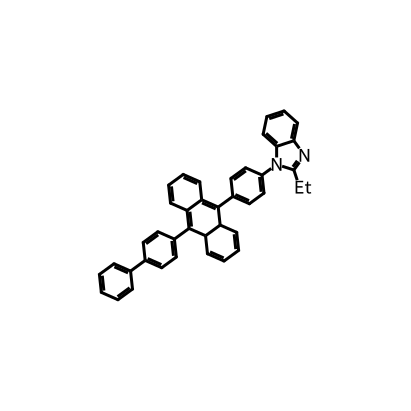 CCc1nc2ccccc2n1-c1ccc(C2=c3ccccc3=C(c3ccc(-c4ccccc4)cc3)C3C=CC=CC23)cc1